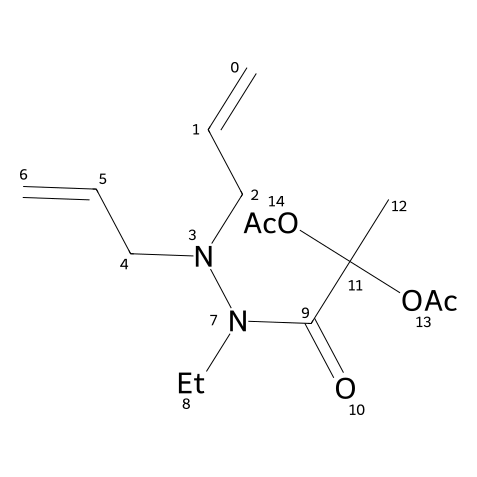 C=CCN(CC=C)N(CC)C(=O)C(C)(OC(C)=O)OC(C)=O